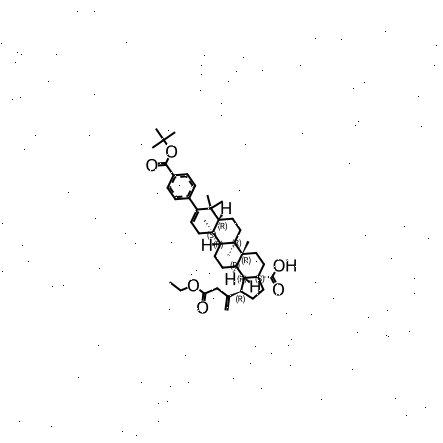 C=C(CC(=O)OCC)[C@@H]1CC[C@]2(C(=O)O)CC[C@]3(C)[C@H](CC[C@@H]4[C@@]5(C)CC=C(c6ccc(C(=O)OC(C)(C)C)cc6)C(C)(C)[C@@H]5CC[C@]43C)[C@@H]12